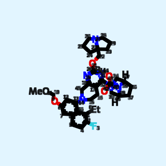 CCc1c(F)ccc2cc(OCOC)cc(N3CCc4c(nc(OCC56CCCN5CCC6)nc4N4C[C@H]5CC[C@@H](C4)N5C(=O)OC(C)(C)C)C3)c12